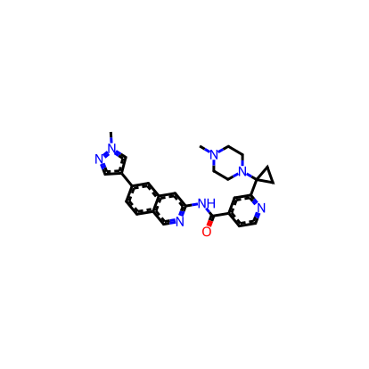 CN1CCN(C2(c3cc(C(=O)Nc4cc5cc(-c6cnn(C)c6)ccc5cn4)ccn3)CC2)CC1